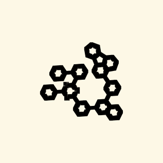 c1ccc(-c2nc(-c3cccc(-c4cc(-c5cccc(-c6ccc7c8c(cccc68)-c6ccccc6-7)c5)c5ccccc5c4)c3)nc(-c3ccccc3-c3ccccc3)n2)cc1